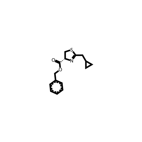 O=C(OCc1ccccc1)[C@@H]1CSC(CC2CC2)=N1